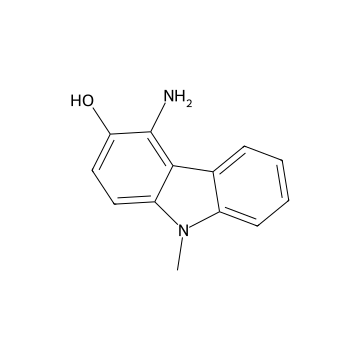 Cn1c2ccccc2c2c(N)c(O)ccc21